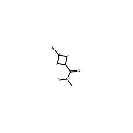 CC(C)C1CC(C(=O)N(C)C)C1